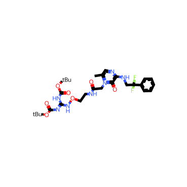 Cc1cnc(NCC(F)(F)c2ccccc2)c(=O)n1CC(=O)NCCON/C(=N/C(=O)OC(C)(C)C)NC(=O)OC(C)(C)C